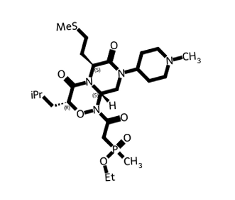 CCOP(C)(=O)CC(=O)N1O[C@H](CC(C)C)C(=O)N2[C@@H]1CN(C1CCN(C)CC1)C(=O)[C@@H]2CCSC